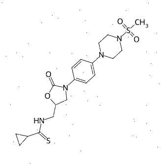 CS(=O)(=O)N1CCN(c2ccc(N3CC(CNC(=S)C4CC4)OC3=O)cc2)CC1